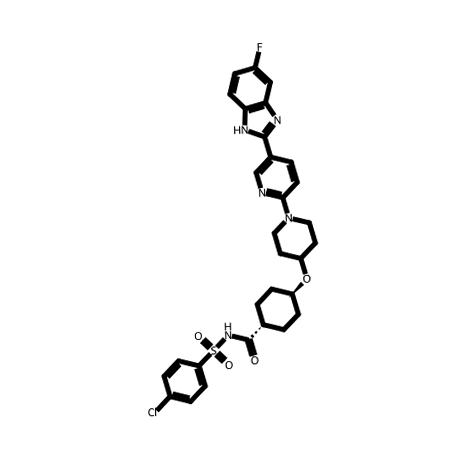 O=C(NS(=O)(=O)c1ccc(Cl)cc1)[C@H]1CC[C@H](OC2CCN(c3ccc(-c4nc5cc(F)ccc5[nH]4)cn3)CC2)CC1